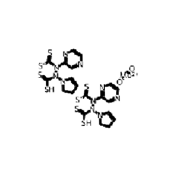 S=C([S-])N(c1cnccn1)N(C(=S)S)N1C=CCC1.S=C([S-])N(c1cnccn1)N(C(=S)S)N1C=CCC1.[O]=[Mo+2]=[O]